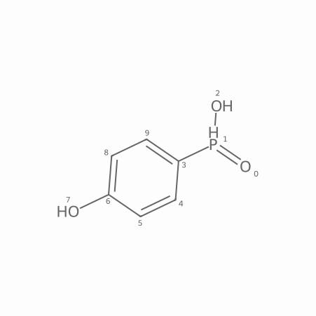 O=[PH](O)c1ccc(O)cc1